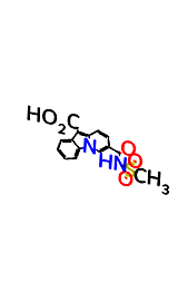 CS(=O)(=O)NC(=O)c1ccc2c(C(=O)O)c3ccccc3n2c1